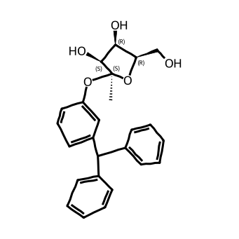 C[C@@]1(Oc2cccc(C(c3ccccc3)c3ccccc3)c2)O[C@H](CO)[C@H](O)[C@@H]1O